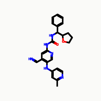 Cc1cc(Nc2cnc(NC(=O)NC(c3ccccc3)C3CCCO3)cc2C=N)ccn1